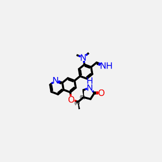 C[C@@H](Oc1cc(-c2ccc(C=N)c(N(C)C)c2)cc2ncccc12)[C@H]1CNC(=O)C1